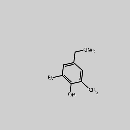 CCc1cc(COC)cc(C)c1O